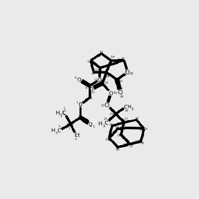 CCC(C)(C)C(=O)OCC(=O)OC1C2CC3C1OC(=O)C3(C(=O)OOC(C)(C)C13CC4CC(CC(C4)C1)C3)C2